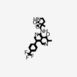 CC1N=Cc2c(-c3ccc(C(F)(F)F)cc3)cnc(NCC3(C)CCNS3(=O)=O)c2C1=O